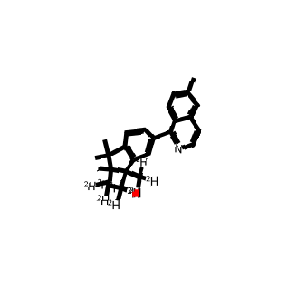 [2H]C([2H])([2H])C1(C)C(C)(C)c2ccc(-c3nccc4cc(C)ccc34)cc2C1(C([2H])([2H])[2H])C([2H])([2H])[2H]